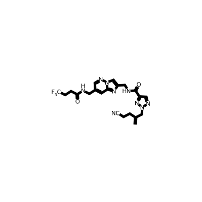 C=C(CCC#N)Cn1ncc(C(=O)NCc2cn3ncc(CNC(=O)CCC(F)(F)F)cc3n2)n1